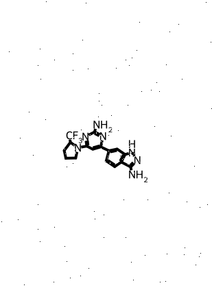 Nc1nc(-c2ccc3c(N)n[nH]c3c2)cc(N2CCCC2C(F)(F)F)n1